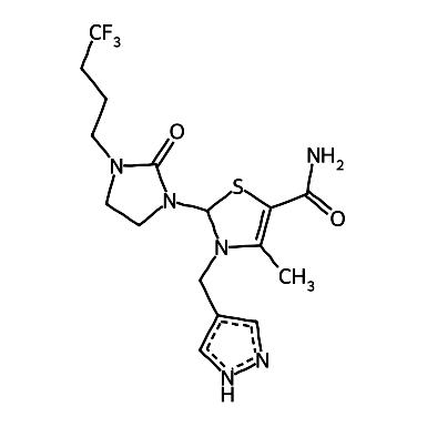 CC1=C(C(N)=O)SC(N2CCN(CCCC(F)(F)F)C2=O)N1Cc1cn[nH]c1